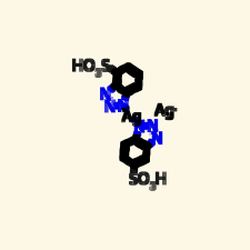 O=S(=O)(O)c1ccc2c(c1)nn[n]2[Ag][n]1nnc2c(S(=O)(=O)O)cccc21.[Ag]